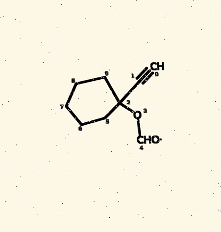 C#CC1(O[C]=O)CCCCC1